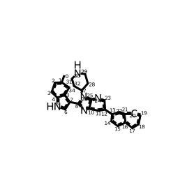 Cc1ccc2[nH]cc(-c3nc4cc(-c5ccc6ccccc6c5)cnc4n3C3CCNCC3)c2c1